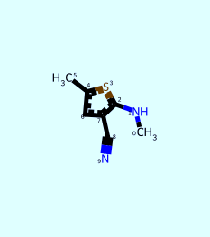 CNc1sc(C)cc1C#N